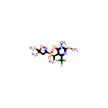 COc1nc(C(F)(F)F)c(C(C)S(=O)(=O)C2=NOC(C)(C)C2)c(=O)n1C